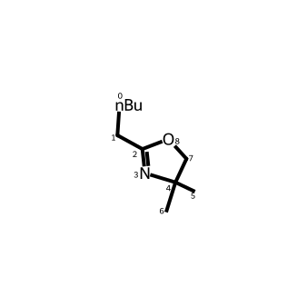 CCCCCC1=NC(C)(C)CO1